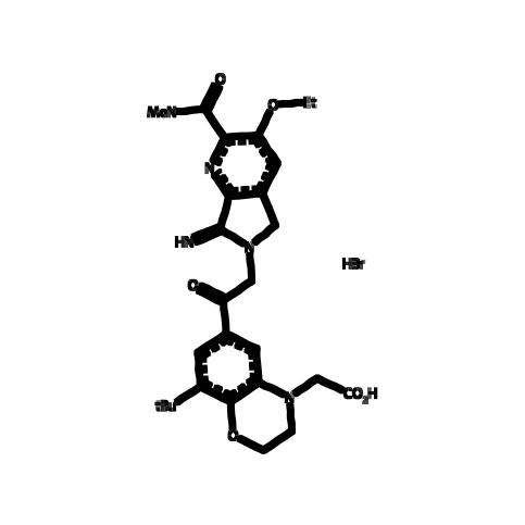 Br.CCOc1cc2c(nc1C(=O)NC)C(=N)N(CC(=O)c1cc3c(c(C(C)(C)C)c1)OCCN3CC(=O)O)C2